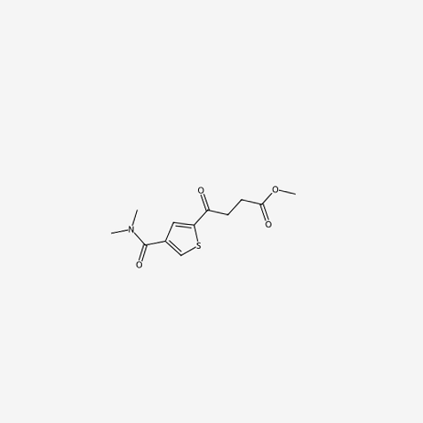 COC(=O)CCC(=O)c1cc(C(=O)N(C)C)cs1